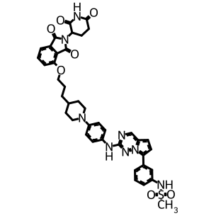 CS(=O)(=O)Nc1cccc(-c2ccc3cnc(Nc4ccc(N5CCC(CCCOc6cccc7c6C(=O)N(C6CCC(=O)NC6=O)C7=O)CC5)cc4)nn23)c1